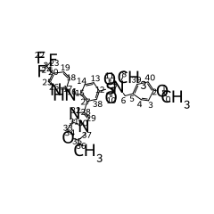 COc1ccc(CN(C)S(=O)(=O)c2ccc(Nc3ccc(C(F)(F)F)cn3)c(-c3cn4c(n3)COC(C)C4)c2)cc1